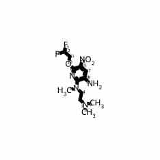 CN(C)CCN(C)c1nc(OCC(F)F)c([N+](=O)[O-])cc1N